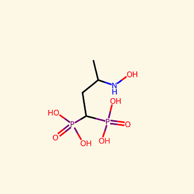 CC(CC(P(=O)(O)O)P(=O)(O)O)NO